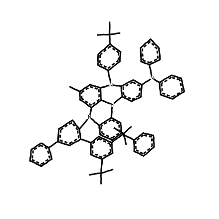 Cc1cc2c3c(c1)N(c1ccc(-c4ccccc4)cc1-c1cc(C(C)(C)C)cc(C(C)(C)C)c1)c1ccc(-c4ccccc4)cc1B3c1ccc(N(c3ccccc3)c3ccccc3)cc1N2c1ccc(C(C)(C)C)cc1